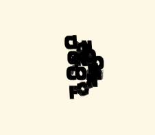 C[C@@H]1CN(Cc2ccc(F)cc2)CCN1C(=O)COc1ncc(Cl)cc1NC(=O)CCC(=O)O